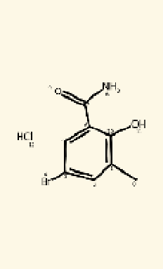 Cc1cc(Br)cc(C(N)=O)c1O.Cl